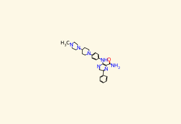 CN1CCN(C2CCN(c3ccc(Nc4ncc(-c5ccccc5)nc4C(N)=O)cc3)CC2)CC1